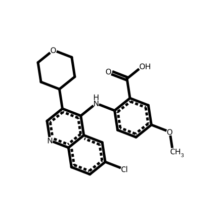 COc1ccc(Nc2c(C3CCOCC3)cnc3ccc(Cl)cc23)c(C(=O)O)c1